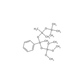 CO[Si](OC)(OC)O[Si](C)(O[Si](C)(C)O[Si](C)(C)C)c1ccccc1